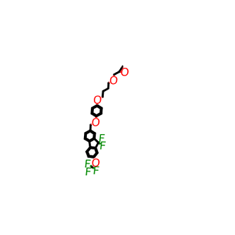 FC(F)(F)Oc1ccc2c(c1)C(F)(F)c1cc(COc3ccc(OCCCCOCC4CO4)cc3)ccc1-2